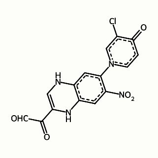 O=CC(=O)C1=CNc2cc(-n3ccc(=O)c(Cl)c3)c([N+](=O)[O-])cc2N1